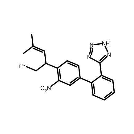 CC(C)=CC(CC(C)C)c1ccc(-c2ccccc2-c2nn[nH]n2)cc1[N+](=O)[O-]